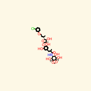 CC(=Cc1ccc(O[C@@H]2O[C@H](C(C)=CCOc3cccc(Cl)c3)[C@@H](O)[C@]2(C)O)c(O)c1)C(=O)N[C@@H]1[C@H](O)[C@@H](O)[C@H]2OCO[C@H]2[C@@H]1O